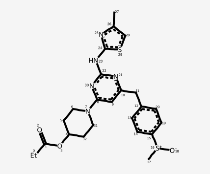 CCC(=O)OC1CCN(c2cc(Cc3ccc([S+](C)[O-])cc3)nc(Nc3nc(C)cs3)n2)CC1